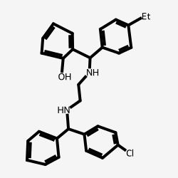 CCc1ccc(C(NCCNC(c2ccccc2)c2ccc(Cl)cc2)c2ccccc2O)cc1